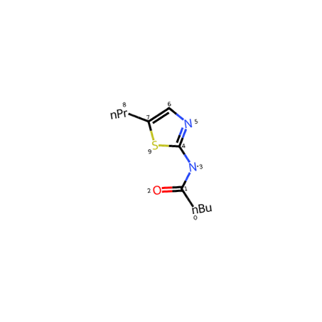 CCCCC(=O)[N]c1ncc(CCC)s1